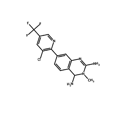 CN1C(N)=Nc2cc(-c3ncc(C(F)(F)F)cc3Cl)ccc2C1N